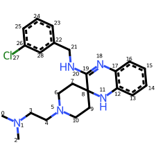 CN(C)CCN1CCC2(CC1)Nc1ccccc1N=C2NCc1cccc(Cl)c1